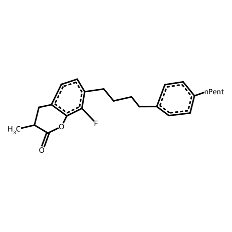 CCCCCc1ccc(CCCCc2ccc3c(c2F)OC(=O)C(C)C3)cc1